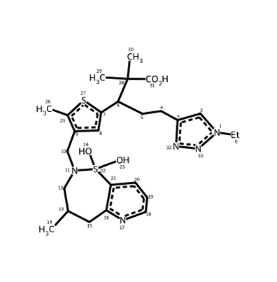 CCn1cc(CCC(c2cc(CN3CC(C)Cc4ncccc4S3(O)O)c(C)s2)C(C)(C)C(=O)O)nn1